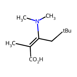 C/C(C(=O)O)=C(/CC(C)(C)C)N(C)C